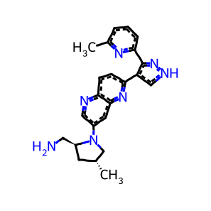 Cc1cccc(-c2n[nH]cc2-c2ccc3ncc(N4C[C@H](C)C[C@H]4CN)cc3n2)n1